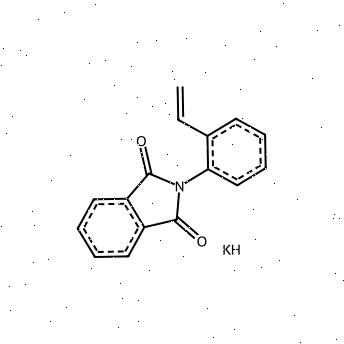 C=Cc1ccccc1N1C(=O)c2ccccc2C1=O.[KH]